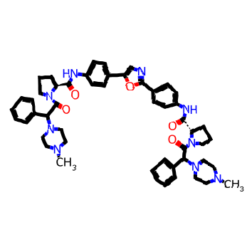 CN1CCN(C(C(=O)N2CCC[C@H]2C(=O)Nc2ccc(-c3cnc(-c4ccc(NC(=O)[C@@H]5CCCN5C(=O)C(c5ccccc5)N5CCN(C)CC5)cc4)o3)cc2)c2ccccc2)CC1